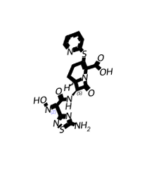 Nc1nc(/C(=N/O)C(=O)N[C@@H]2C(=O)N3C(C(=O)O)=C(Sc4ccccn4)CC[C@H]23)ns1